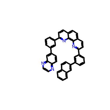 c1cc(-c2ccc3ccccc3c2)cc(-c2ccc3ccc4ccc(-c5cccc(-c6ccc7nccnc7c6)c5)nc4c3n2)c1